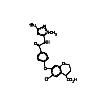 Cn1nc(C(C)(C)C)cc1NC(=O)c1ccc(Oc2cc3c(cc2Cl)C(C(=O)O)CCO3)cc1